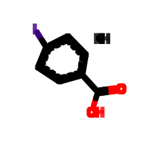 O=C(O)c1ccc(I)cc1.[KH]